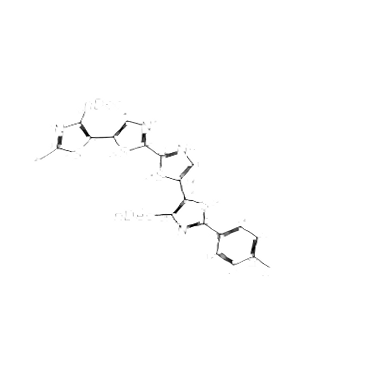 CCCCCCCCCCc1nc(C)sc1-c1cnc(-c2ncc(-c3sc(-c4ccc(C)cc4)nc3CCCCCCCCCC)s2)s1